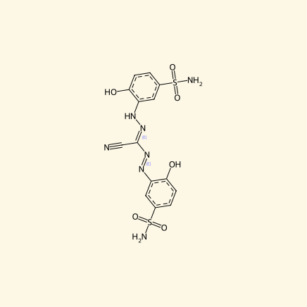 N#CC(/N=N/c1cc(S(N)(=O)=O)ccc1O)=N\Nc1cc(S(N)(=O)=O)ccc1O